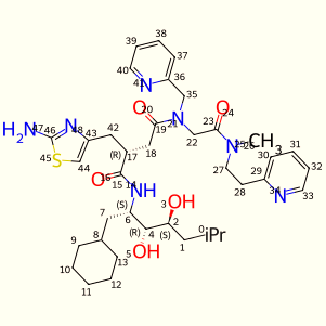 CC(C)C[C@H](O)[C@H](O)[C@H](CC1CCCCC1)NC(=O)[C@@H](CC(=O)N(CC(=O)N(C)CCc1ccccn1)Cc1ccccn1)Cc1csc(N)n1